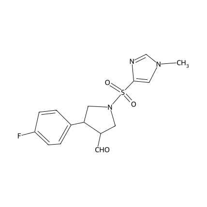 Cn1cnc(S(=O)(=O)N2CC(C=O)C(c3ccc(F)cc3)C2)c1